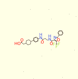 O=C(O)CC1CCC(c2ccc(NC(=O)CCNC(=O)c3nc(-c4ccccc4)oc3C(F)(F)F)cc2)CC1